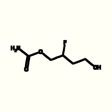 NC(=O)OCC(F)CCO